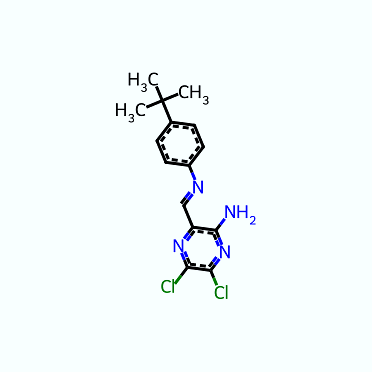 CC(C)(C)c1ccc(/N=C/c2nc(Cl)c(Cl)nc2N)cc1